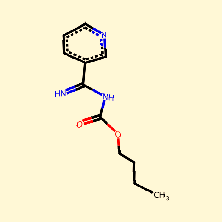 CCCCOC(=O)NC(=N)c1cc[c]nc1